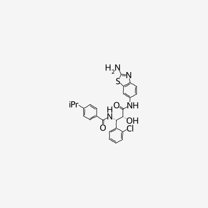 CC(C)c1ccc(C(=O)N[C@@H](c2ccccc2Cl)[C@@H](O)C(=O)Nc2ccc3nc(N)sc3c2)cc1